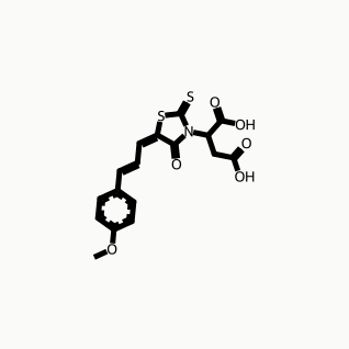 COc1ccc(C=CC=C2SC(=S)N(C(CC(=O)O)C(=O)O)C2=O)cc1